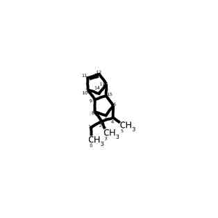 CCC1(C)C(C)C2CC1C1C3C=CC(C3)C21